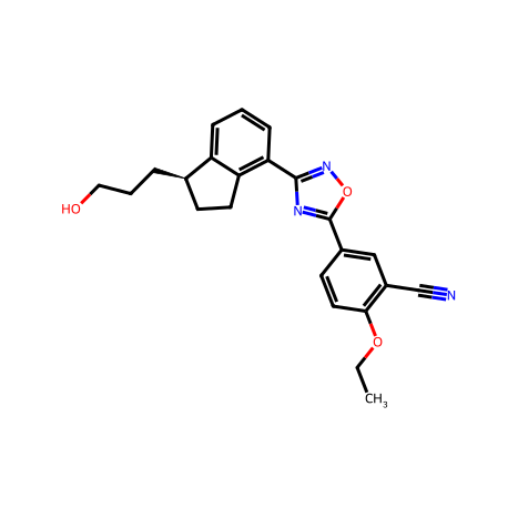 CCOc1ccc(-c2nc(-c3cccc4c3CC[C@H]4CCCO)no2)cc1C#N